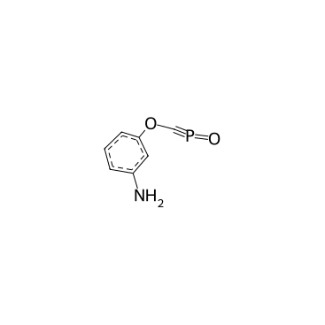 Nc1cccc(OC#P=O)c1